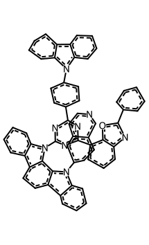 c1ccc(-c2nc3cccc(-c4nc(-c5ccc(-n6c7ccccc7c7ccccc76)cc5)nc(-n5c6ccccc6c6ccc7c8ccccc8n(-c8ccc9cnccc9c8)c7c65)n4)c3o2)cc1